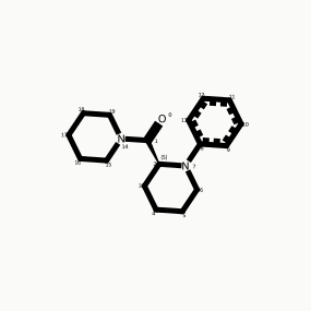 O=C([C@@H]1CCCCN1c1ccccc1)N1CCCCC1